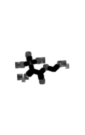 C=C(C(=O)OCC)P(=O)(O)O